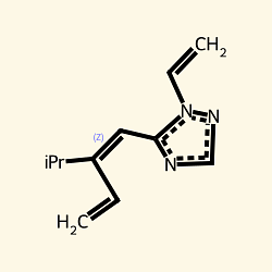 C=C/C(=C\c1ncnn1C=C)C(C)C